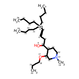 CCC[CH2][Sn]([CH]=CCC(O)C1CCN(C)CC1OCCC)([CH2]CCC)[CH2]CCC